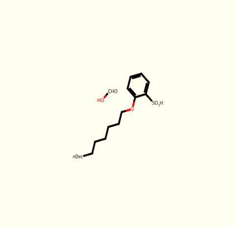 CCCCCCCCCCCCCCCCOc1ccccc1S(=O)(=O)O.O=CO